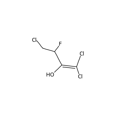 OC(=C(Cl)Cl)C(F)CCl